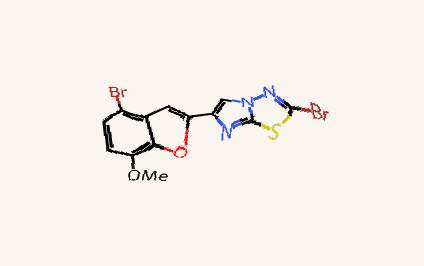 COc1ccc(Br)c2cc(-c3cn4nc(Br)sc4n3)oc12